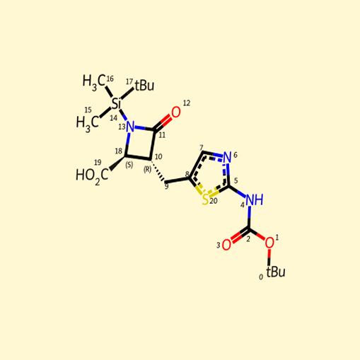 CC(C)(C)OC(=O)Nc1ncc(C[C@H]2C(=O)N([Si](C)(C)C(C)(C)C)[C@@H]2C(=O)O)s1